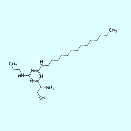 [CH2]CCNc1nc(NCCCCCCCCCCCCCC)nc(C(N)CS)n1